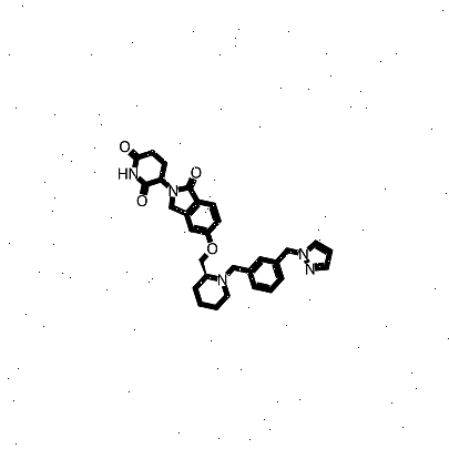 O=C1CCC(N2Cc3cc(OC[C@@H]4CCCCN4Cc4cccc(Cn5cccn5)c4)ccc3C2=O)C(=O)N1